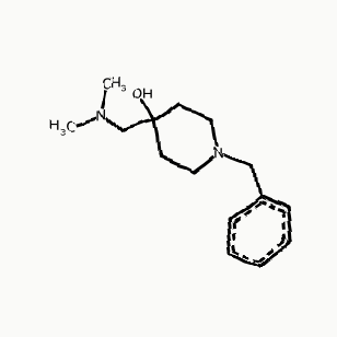 CN(C)CC1(O)CCN(Cc2ccccc2)CC1